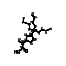 CCC[CH2][Sn]([CH2]CCC)([CH2]CCC)[C]1=CC(N(C)C(=O)O)CC1